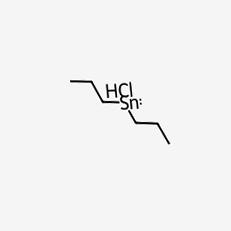 CC[CH2][Sn][CH2]CC.Cl